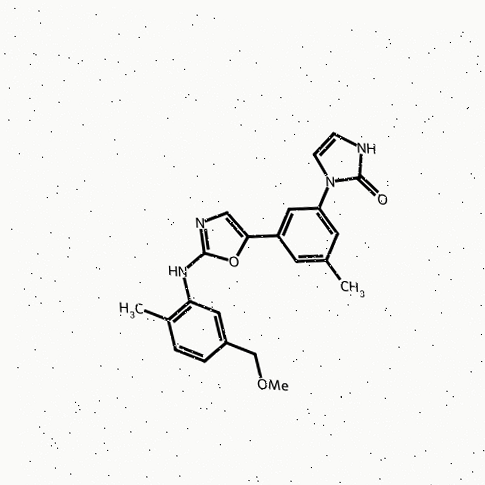 COCc1ccc(C)c(Nc2ncc(-c3cc(C)cc(-n4cc[nH]c4=O)c3)o2)c1